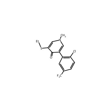 CCSc1cn(C)cc(-c2cc(C(F)(F)F)ccc2Cl)c1=O